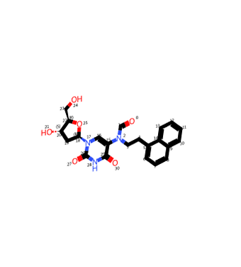 O=CN(CCc1cccc2ccccc12)c1cn([C@H]2C[C@H](O)[C@@H](CO)O2)c(=O)[nH]c1=O